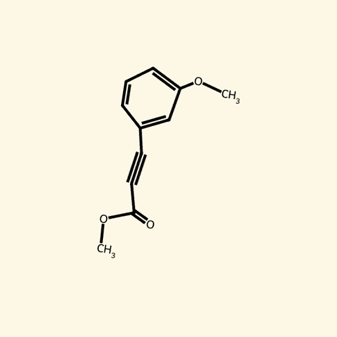 COC(=O)C#Cc1cccc(OC)c1